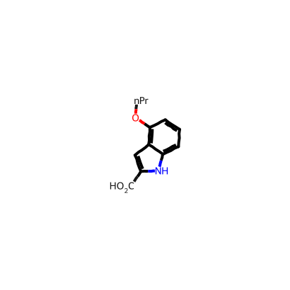 CCCOc1cccc2[nH]c(C(=O)O)cc12